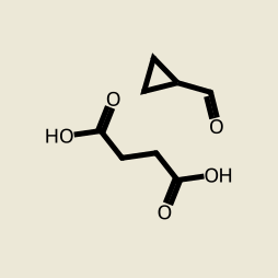 O=C(O)CCC(=O)O.O=CC1CC1